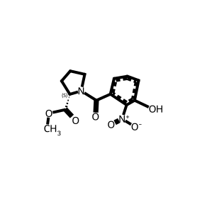 COC(=O)[C@@H]1CCCN1C(=O)c1cccc(O)c1[N+](=O)[O-]